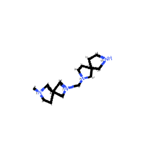 CN1CCC2(C1)CN(CN1CCC3(CCNC3)C1)C2